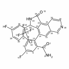 NC(=O)c1cc(F)cc(C(F)(F)F)c1-c1cc2cnccc2c2c1C(c1cc(F)ccc1Cl)NC2=O